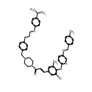 Cc1ccc(COc2ccc(Oc3c(C)cc(C=CC(=O)N4CCN(Cc5ccc(CCCOc6ccc(C(C)C)cc6)cc5)CC4)cc3Cl)nc2)cc1